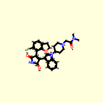 CN(C)C(=O)CN1CCC(n2cc(C3=C(c4c(F)ccc5c4OCC5)C(=O)NC3=O)c3ccccc32)CC1